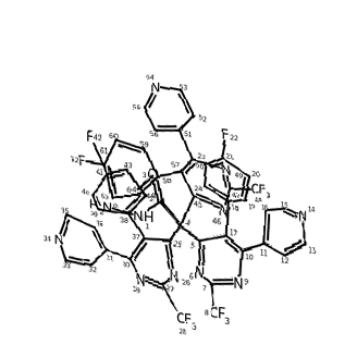 NNC(=O)C(c1nc(C(F)(F)F)nc(-c2ccncc2)c1-c1ccc(F)cc1)(c1nc(C(F)(F)F)nc(-c2ccncc2)c1-c1ccc(F)cc1)c1nc(C(F)(F)F)nc(-c2ccncc2)c1-c1ccc(F)cc1